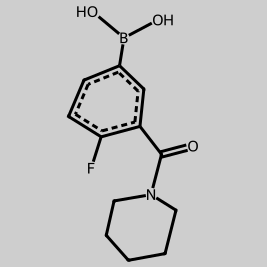 O=C(c1cc(B(O)O)ccc1F)N1CCCCC1